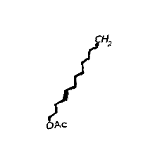 C=CCCCCCCC=CCCCOC(C)=O